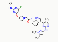 Cc1cnc(Nc2cc(C)n(C)n2)nc1-c1c[nH]c2c(NC(=O)CN3CCC(Oc4cc(F)nc(NC5CC5)n4)C3)cccc12